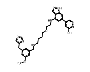 Oc1cc(-c2cc(NCCOCCCCNCc3cc(Cc4cocn4)cc(OC(F)(F)F)c3)c3cn[nH]c3c2)cnn1